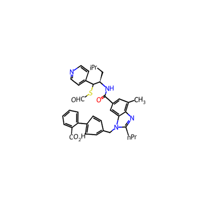 CCCc1nc2c(C)cc(C(=O)N[C@H](CC(C)C)C(SC=O)c3ccncc3)cc2n1Cc1ccc(-c2ccccc2C(=O)O)cc1